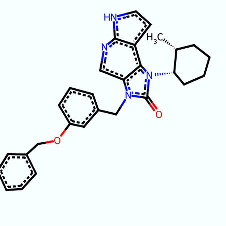 C[C@@H]1CCCC[C@@H]1n1c(=O)n(Cc2cccc(OCc3ccccc3)c2)c2cnc3[nH]ccc3c21